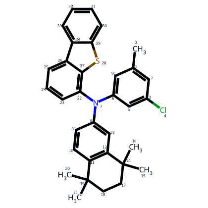 Cc1cc(Cl)cc(N(c2ccc3c(c2)C(C)(C)CCC3(C)C)c2cccc3c2sc2ccccc23)c1